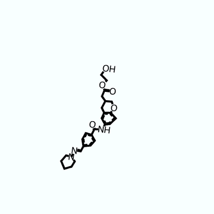 O=C(CC1COc2ccc(NC(=O)c3ccc(/C=N/N4CCCCC4)cc3)cc2C1)OCCO